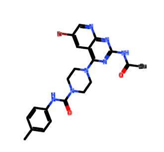 Cc1ccc(NC(=O)N2CCN(c3nc(NC(=O)C(C)(C)C)nc4ncc(Br)cc34)CC2)cc1